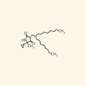 CCCCCCCCN(CCCCCCCC)CN1C(=O)NC(C)(C2CC2)C1=O